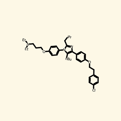 CCCCc1c(-c2ccc(OCCc3ccc(Cl)cc3)cc2)nc(CC(C)C)n1-c1ccc(OCCCN(CC)CC)cc1